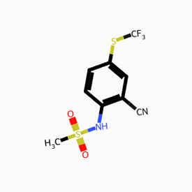 CS(=O)(=O)Nc1ccc(SC(F)(F)F)cc1C#N